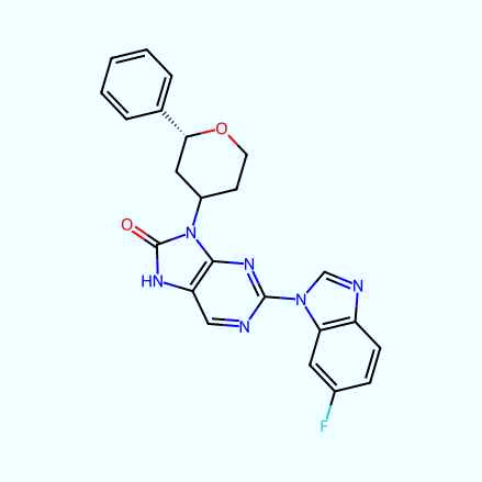 O=c1[nH]c2cnc(-n3cnc4ccc(F)cc43)nc2n1C1CCO[C@@H](c2ccccc2)C1